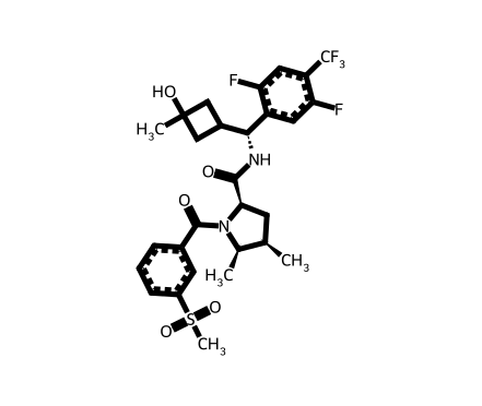 C[C@@H]1C[C@H](C(=O)N[C@@H](c2cc(F)c(C(F)(F)F)cc2F)C2CC(C)(O)C2)N(C(=O)c2cccc(S(C)(=O)=O)c2)[C@@H]1C